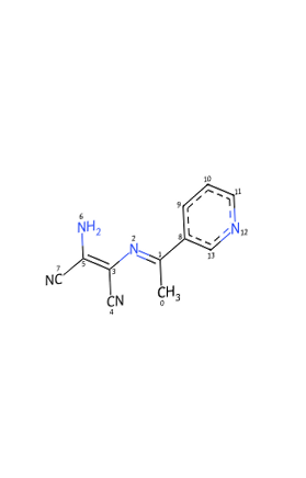 C/C(=N\C(C#N)=C(/N)C#N)c1cccnc1